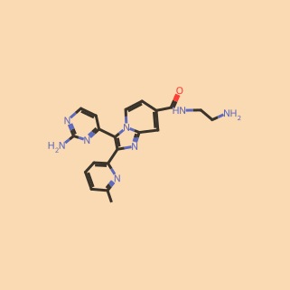 Cc1cccc(-c2nc3cc(C(=O)NCCN)ccn3c2-c2ccnc(N)n2)n1